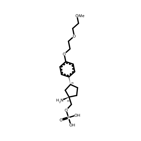 COCCOCCOc1ccc([C@@H]2CC[C@](N)(COP(=O)(O)O)C2)cc1